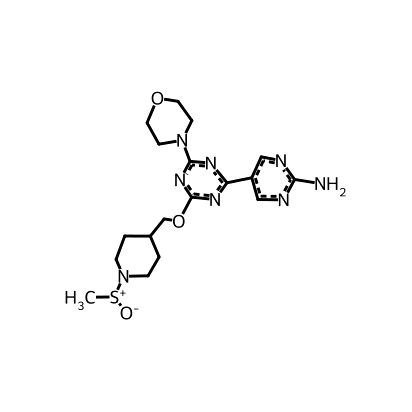 C[S+]([O-])N1CCC(COc2nc(-c3cnc(N)nc3)nc(N3CCOCC3)n2)CC1